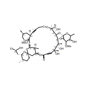 CC[C@@H](O)C[C@@H]1O[C@@]2(CC[C@@H]1C)C[C@@H]1OC(=O)/C=C\[C@@](C)(O)[C@@H](O)[C@H](C)[C@@H](O)[C@H](O[C@H]3CC(OC)[C@H](O)C(C)O3)[C@@H](O)[C@](C)(O)CCC/C=C\[C@@H]3C[C@H](C)CO[C@@]3(OC)C[C@H](O2)[C@H]1C